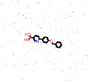 OB(O)c1ccc(-c2ccc(OCc3ccccc3)cc2)nc1